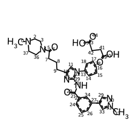 CN1CCN(C(=O)CCCc2cn(-c3ccccc3)c(NC(=O)c3cccc(-c4cnn(C)c4)c3)n2)CC1.O=C(O)CCC(=O)O